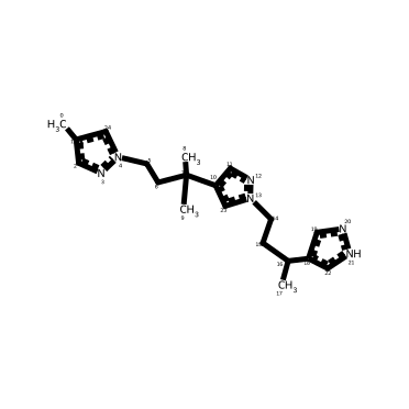 Cc1cnn(CCC(C)(C)c2cnn(CCC(C)c3cn[nH]c3)c2)c1